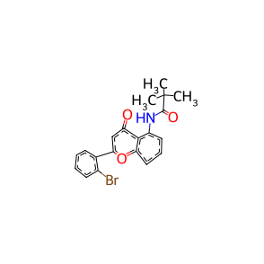 CC(C)(C)C(=O)Nc1cccc2oc(-c3ccccc3Br)cc(=O)c12